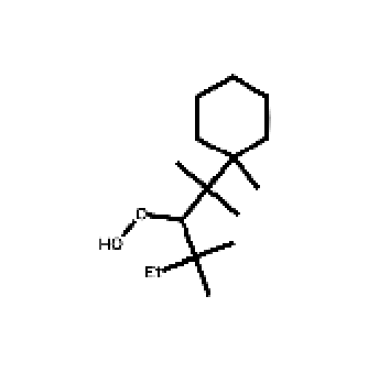 CCC(C)(C)C(OO)C(C)(C)C1(C)CCCCC1